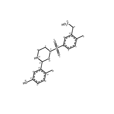 Cc1ccc(S(=O)(=O)N2CCNC(c3cc(O)ccc3C)O2)cc1CC(=O)O